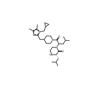 Cc1nc(CC2CCN(C(=O)C(CC(C)C)N3CCN[C@@H](CC(C)C)C3=O)CC2)n(CC2CC2)c1C